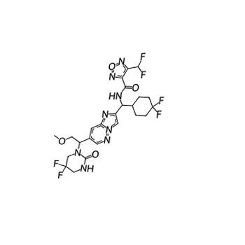 COCC(c1cnn2cc(C(NC(=O)c3nonc3C(F)F)C3CCC(F)(F)CC3)nc2c1)N1CC(F)(F)CNC1=O